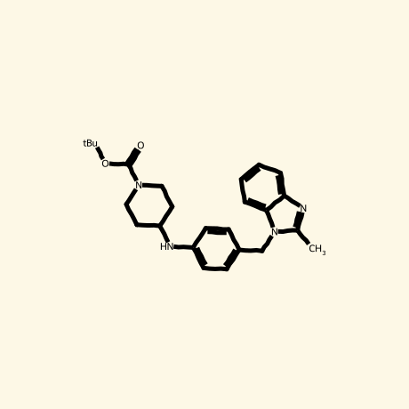 Cc1nc2ccccc2n1Cc1ccc(NC2CCN(C(=O)OC(C)(C)C)CC2)cc1